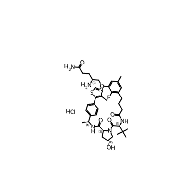 Cc1cc(CCCC(=O)N[C@H](C(=O)N2C[C@H](O)C[C@H]2C(=O)N[C@@H](C)c2ccc(-c3scnc3C)cc2)C(C)(C)C)c(F)c(OC[C@@H](N)CCC(N)=O)c1.Cl